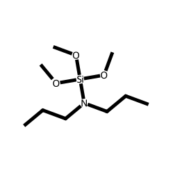 CCCN(CCC)[Si](OC)(OC)OC